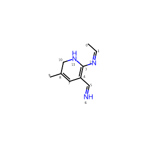 C/C=N\C1=C(C=N)C=C(C)CN1